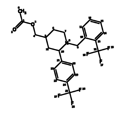 CC(=O)OCC1CCN(Cc2ccccc2C(F)(F)F)C(c2ccc(C(F)(F)F)cc2)C1